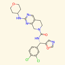 O=C(N[C@@H](c1ccc(Cl)c(Cl)c1)c1cnco1)N1CCc2cnc(NC3CCOCC3)nc2C1